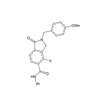 COc1ccc(CN2Cc3c(ccc(C(=O)NC(C)C)c3F)C2=O)cc1